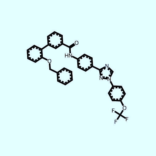 O=C(Nc1ccc(-c2ncn(-c3ccc(OC(F)(F)F)cc3)n2)cc1)c1cccc(-c2ccccc2OCc2ccccc2)c1